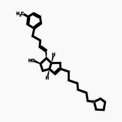 Cc1cccc(CC/C=C/[C@@H]2[C@H]3CC(CCCCCCN4CCCC4)=C[C@H]3C[C@H]2O)c1